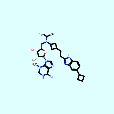 CC(C)N(C[C@H]1O[C@@H](n2cnc3c2N(C)CNC3N)[C@H](O)[C@@H]1O)C1CC(CCc2nc3cc(C4CCC4)ccc3[nH]2)C1